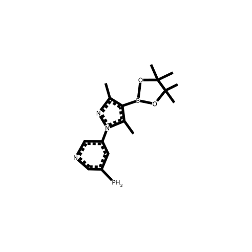 Cc1nn(-c2cncc(P)c2)c(C)c1B1OC(C)(C)C(C)(C)O1